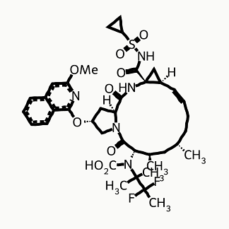 COc1cc2ccccc2c(O[C@@H]2C[C@H]3C(=O)N[C@]4(C(=O)NS(=O)(=O)C5CC5)C[C@H]4/C=C\CC[C@H](C)C[C@@H](C)[C@H](N(C(=O)O)C(C)(C)C(C)(F)F)C(=O)N3C2)n1